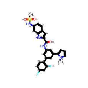 Cn1cccc1-c1cc(NC(=O)c2cc3ccc(NS(C)(=O)=O)cc3[nH]2)cc(-c2ccc(F)cc2F)c1